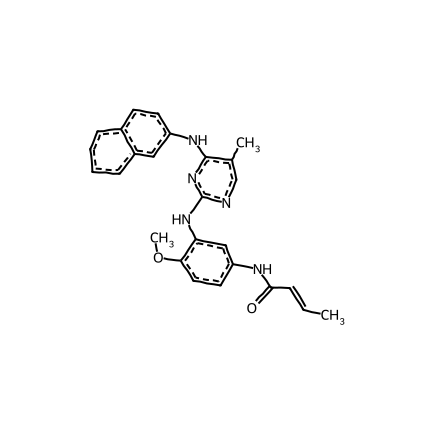 C/C=C/C(=O)Nc1ccc(OC)c(Nc2ncc(C)c(Nc3ccc4ccccc4c3)n2)c1